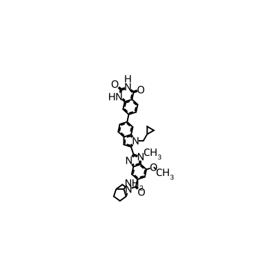 COc1cc(C(=O)N2CC3CCC2C3N)cc2nc(-c3cc4ccc(-c5ccc6c(=O)[nH]c(=O)[nH]c6c5)cc4n3CC3CC3)n(C)c12